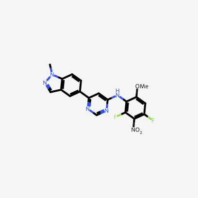 COc1cc(F)c([N+](=O)[O-])c(F)c1Nc1cc(-c2ccc3c(cnn3C)c2)ncn1